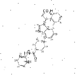 O=C(O)CC(c1ccccc1)n1cnc2c(N3CCC(C(=O)NC4=NCCCN4)CC3)cccc21